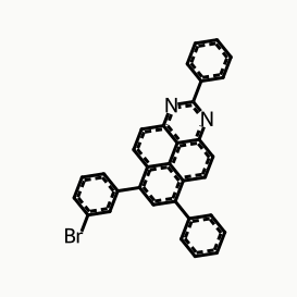 Brc1cccc(-c2cc(-c3ccccc3)c3ccc4nc(-c5ccccc5)nc5ccc2c3c45)c1